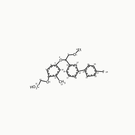 CCOCC(Oc1ccc(OCC(=O)O)c(C)c1)c1cccc(-c2ccc(F)cc2)n1